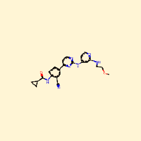 COCCNc1cc(Nc2nccc(-c3ccc(NC(=O)C4CC4)c(C#N)c3)n2)ccn1